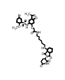 COc1ccc(Br)cc1S(=O)(=O)Nc1cc2c(C)noc2cc1OCC(=O)NCCCCCCNc1cccc2c1C(=O)N(C1CCC(=O)NC1=O)C2=O